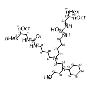 CCCCCCCCC(CCCCCC)CNC(=O)NCCCCN(CCCCNC(O)NCC(CCCCCC)CCCCCCCC)CCN(CCO)C1CCCCC1